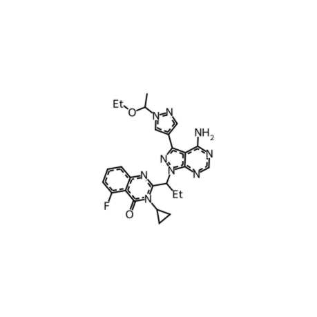 CCOC(C)n1cc(-c2nn(C(CC)c3nc4cccc(F)c4c(=O)n3C3CC3)c3ncnc(N)c23)cn1